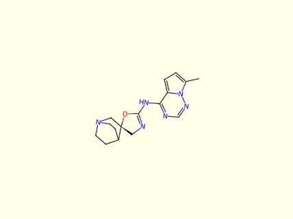 Cc1ccc2c(NC3=NC[C@@]4(CN5CCC4CC5)O3)ncnn12